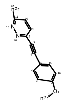 CCCOc1ccc(C#Cc2ccc(CCC)nn2)cc1